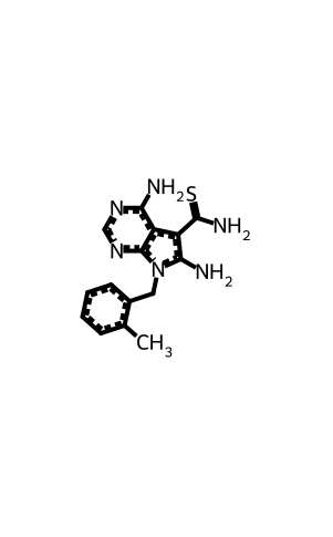 Cc1ccccc1Cn1c(N)c(C(N)=S)c2c(N)ncnc21